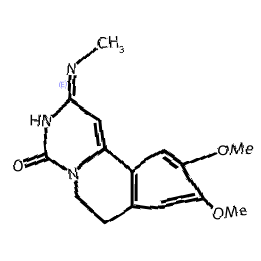 C/N=c1\cc2n(c(=O)[nH]1)CCc1cc(OC)c(OC)cc1-2